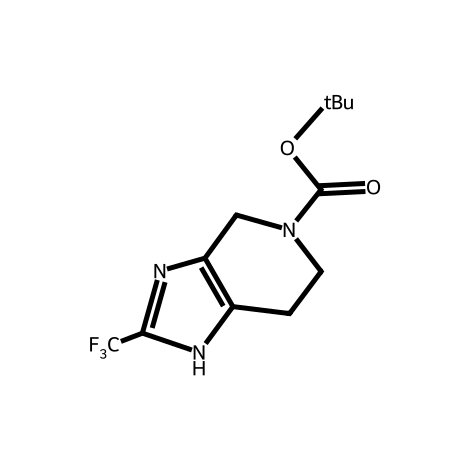 CC(C)(C)OC(=O)N1CCc2[nH]c(C(F)(F)F)nc2C1